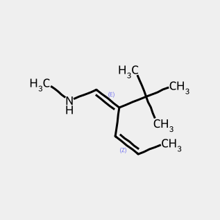 C/C=C\C(=C/NC)C(C)(C)C